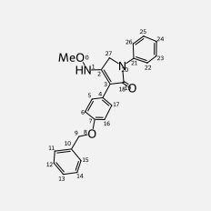 CONC1=C(c2ccc(OCc3ccccc3)cc2)C(=O)N(c2ccccc2)C1